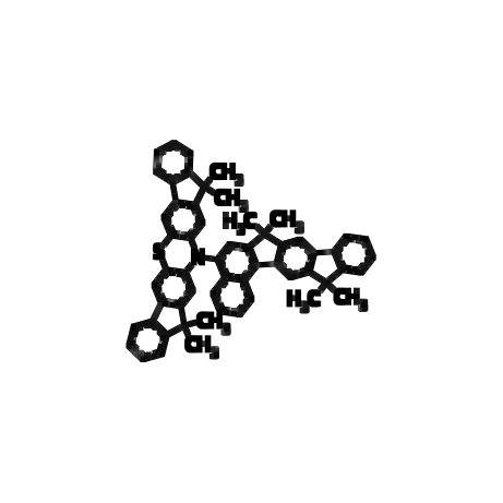 CC1(C)c2ccccc2-c2cc3c(cc21)-c1c(cc(N2c4cc5c(cc4Sc4cc6c(cc42)C(C)(C)c2ccccc2-6)-c2ccccc2C5(C)C)c2ccccc12)C3(C)C